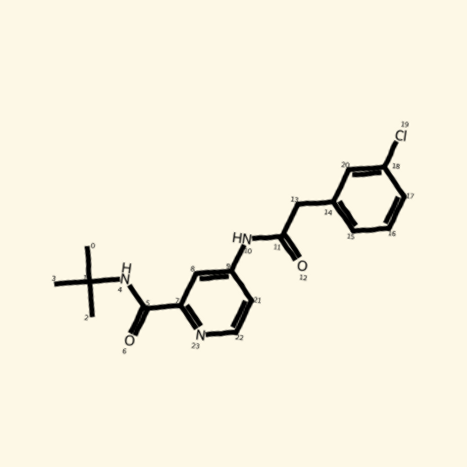 CC(C)(C)NC(=O)c1cc(NC(=O)Cc2cccc(Cl)c2)ccn1